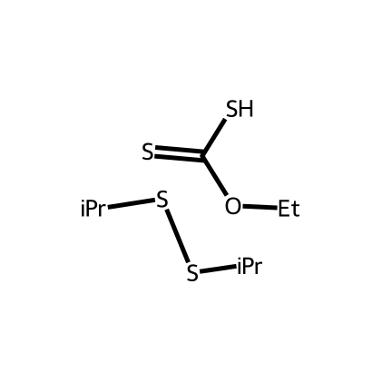 CC(C)SSC(C)C.CCOC(=S)S